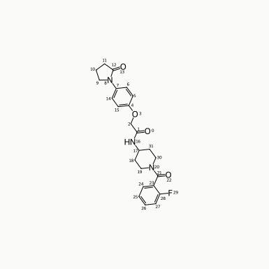 O=C(COc1ccc(N2CCCC2=O)cc1)NC1CCN(C(=O)c2ccccc2F)CC1